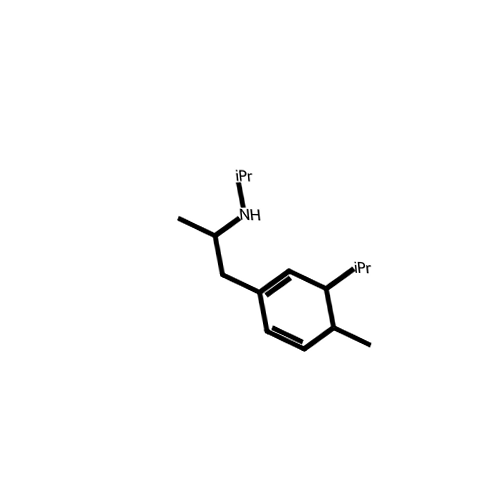 CC(C)NC(C)CC1=CC(C(C)C)C(C)C=C1